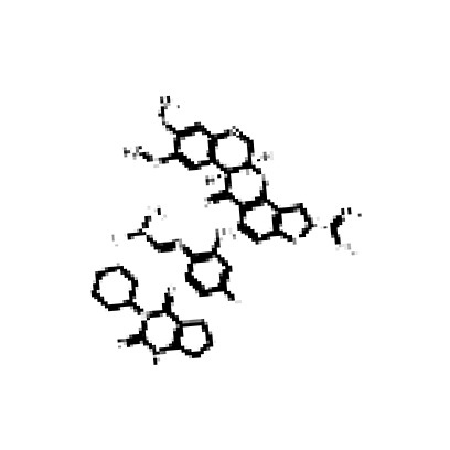 C=C(C)[C@H]1Cc2c(ccc3c2O[C@@H]2COc4cc(OC)c(OC)cc4[C@@H]2C3=O)O1.Cc1cc(Cl)ccc1N=CN(C)C.O=c1[nH]c2c(c(=O)n1C1CCCCC1)CCC2